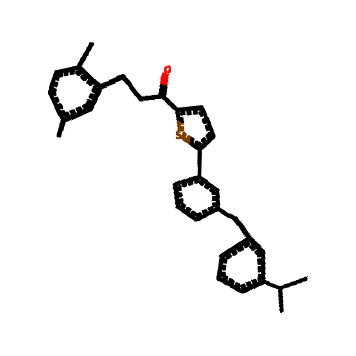 Cc1ccc(C)c(CCC(=O)c2ccc(-c3cccc(Cc4cccc(C(C)C)c4)c3)s2)c1